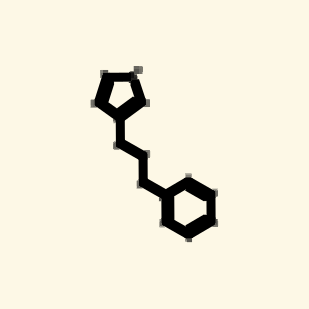 [CH](Cc1ccccc1)Cc1ccsc1